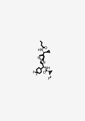 CCCC(=O)N[C@@H](c1cnn2cc([C@@H](NC(=O)[C@H]3C[C@@H]3CF)C3CCC(F)(F)CC3)nc2c1)C1CC1